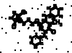 Cn1c(=O)/c(=C/c2ccccc2)nc(OCCCN2C(=O)CCC2=O)/c1=C/c1ccccc1